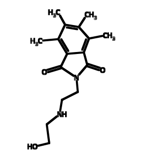 Cc1c(C)c(C)c2c(c1C)C(=O)N(CCNCCO)C2=O